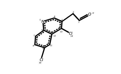 O=CCc1cnc2ccc(Cl)cc2c1Cl